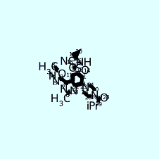 Cc1nc(-c2nnc(C)o2)c2cc(S(=O)(=O)NC3(C#N)CC3)cc(N3CCN(C(=O)C(C)C)CC3)c2n1